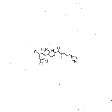 Nc1nc(C(=O)NCCCn2ccnc2)ccc1-c1cc(Cl)cc(Cl)c1Cl